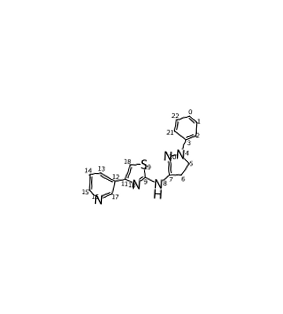 c1ccc(N2CCC(Nc3nc(-c4cccnc4)cs3)=N2)cc1